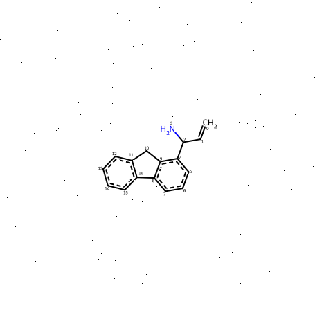 C=CC(N)c1cccc2c1Cc1ccccc1-2